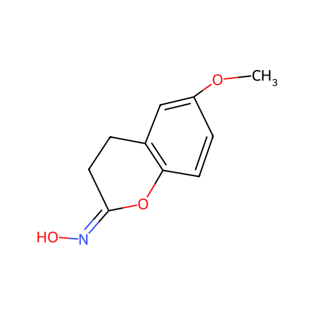 COc1ccc2c(c1)CC/C(=N\O)O2